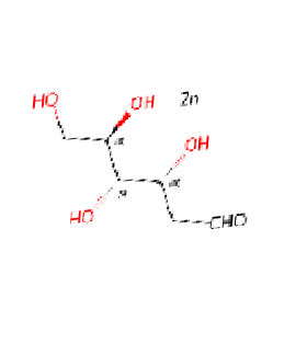 O=CC[C@@H](O)[C@H](O)[C@H](O)CO.[Zn]